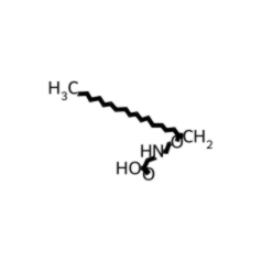 C=C(CCCCCCCCCCCCCCCCC)OCCNCCC(=O)O